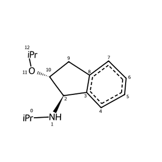 CC(C)N[C@@H]1c2ccccc2C[C@H]1OC(C)C